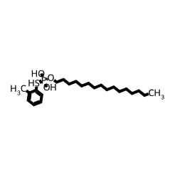 CCCCCCCCCCCCCCCCOP(O)(O)=[SH]c1ccccc1C